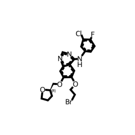 Fc1ccc(Nc2ncnc3cc(OC[C@H]4CCCO4)c(OCCBr)cc23)cc1Cl